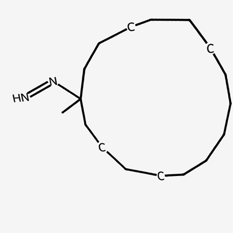 CC1(N=N)CCCCCCCCCCCCCCC1